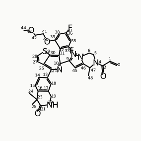 C=CC(=O)N1CCn2nc(-c3nc(-c4ccc5c(c4)CNC(=O)C5(C)C)c4ccsc4c3-c3c(F)cc(F)cc3OCCOC)cc2C1C